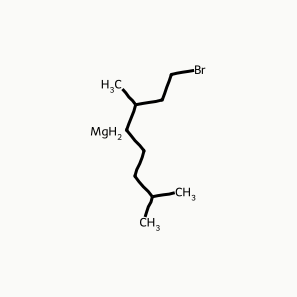 CC(C)CCCC(C)CCBr.[MgH2]